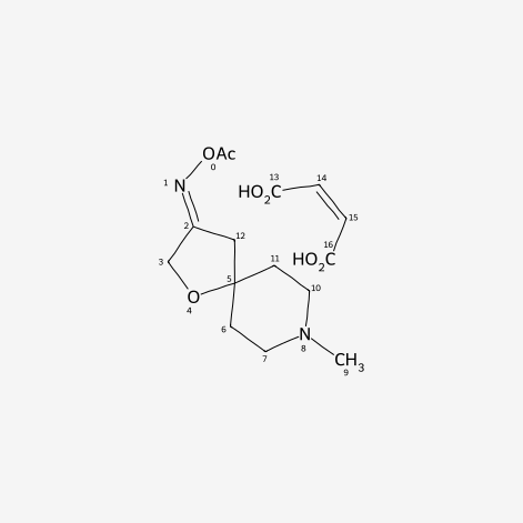 CC(=O)ON=C1COC2(CCN(C)CC2)C1.O=C(O)/C=C\C(=O)O